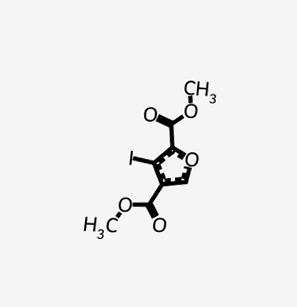 COC(=O)c1coc(C(=O)OC)c1I